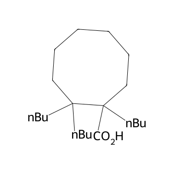 CCCCC1(CCCC)CCCCCCC1(CCCC)C(=O)O